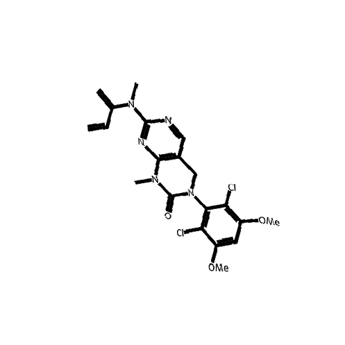 C=CC(=C)N(C)c1ncc2c(n1)N(C)C(=O)N(c1c(Cl)c(OC)cc(OC)c1Cl)C2